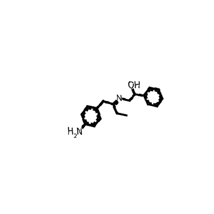 CC/C(Cc1ccc(N)cc1)=N\CC(O)c1ccccc1